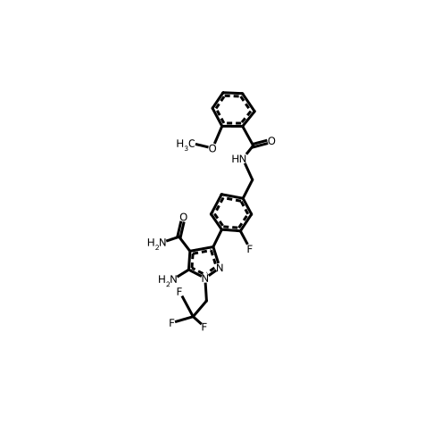 COc1ccccc1C(=O)NCc1ccc(-c2nn(CC(F)(F)F)c(N)c2C(N)=O)c(F)c1